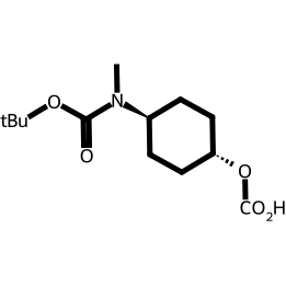 CN(C(=O)OC(C)(C)C)[C@H]1CC[C@H](OC(=O)O)CC1